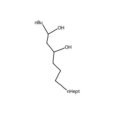 CCCCCCCCCCC(O)CC(O)CCCC